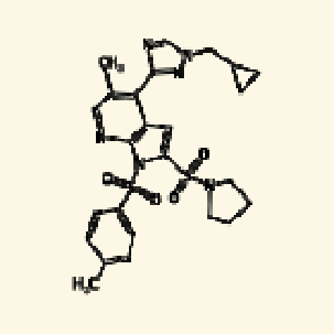 Cc1ccc(S(=O)(=O)n2c(S(=O)(=O)N3CCCC3)cc3c(-c4ncn(CC5CC5)n4)c(C)cnc32)cc1